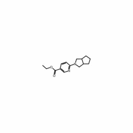 CCOC(=O)c1ccc(N2CC3CCCC3C2)nc1